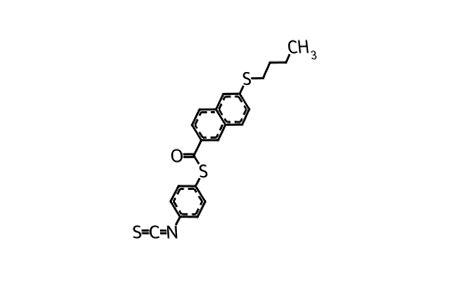 CCCCSc1ccc2cc(C(=O)Sc3ccc(N=C=S)cc3)ccc2c1